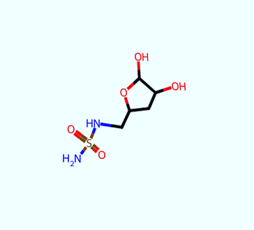 NS(=O)(=O)NCC1CC(O)C(O)O1